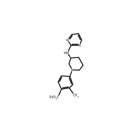 CCOC(=O)c1ccc(N2CCC[C@H](Nc3ncccn3)C2)cc1C(F)(F)F